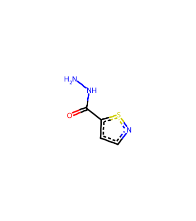 NNC(=O)c1ccns1